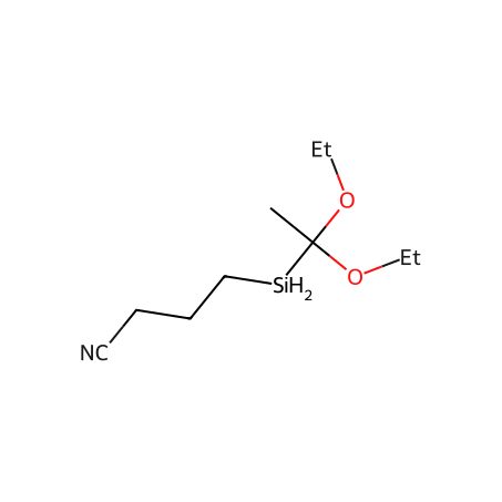 CCOC(C)(OCC)[SiH2]CCCC#N